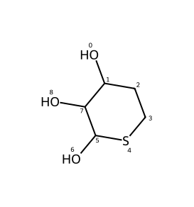 OC1CCSC(O)C1O